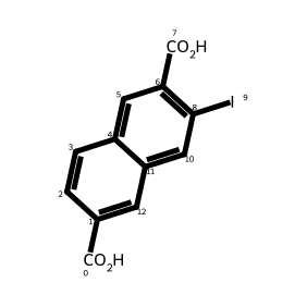 O=C(O)c1ccc2cc(C(=O)O)c(I)cc2c1